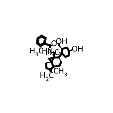 C=C1CC[C@@]23CC2(CNC(=O)c2ccccc2C)[C@@H]([C@@]2(C)CC[C@H](O)C[C@@H]2CO)CC[C@]13C